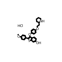 COc1ccc(-c2sc3cc(O)ccc3c2Oc2ccc(OCCC3CCCCN3)cc2)cc1.Cl